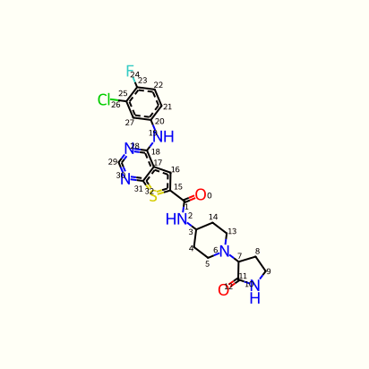 O=C(NC1CCN(C2CCNC2=O)CC1)c1cc2c(Nc3ccc(F)c(Cl)c3)ncnc2s1